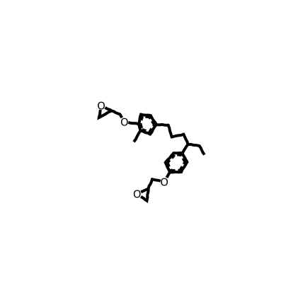 CCC(CCCc1ccc(OCC2CO2)c(C)c1)c1ccc(OCC2CO2)cc1